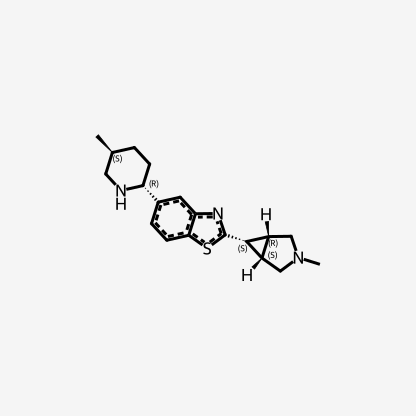 C[C@H]1CC[C@H](c2ccc3sc([C@@H]4[C@@H]5CN(C)C[C@@H]54)nc3c2)NC1